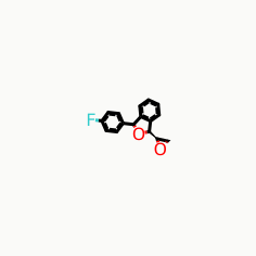 Fc1ccc(C2OC([C@H]3CO3)c3ccccc32)cc1